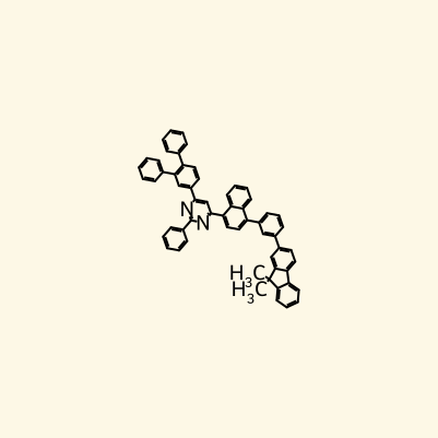 CC1(C)c2ccccc2-c2ccc(-c3cccc(-c4ccc(-c5cc(-c6ccc(-c7ccccc7)c(-c7ccccc7)c6)nc(-c6ccccc6)n5)c5ccccc45)c3)cc21